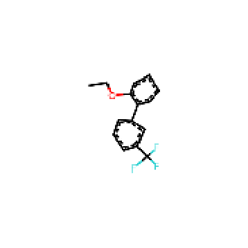 CCOc1ccccc1-c1cc[c]c(C(F)(F)F)c1